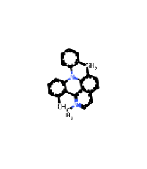 Cc1cccc2c1-c1c3c4c(ccc3cc[n+]1C)[SiH2]c1ccccc1N24